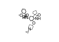 COc1ccccc1S(=O)(=O)Nc1cc(OC2CCN(C3CC3)CC2)c2c(c1)C1(CCCC1)C(=O)N2